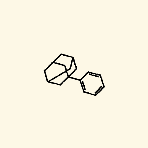 c1ccc(C23C[C]4CC(CC(C4)C2)C3)cc1